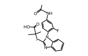 CC(=O)Nc1ccc(-n2c(SC(C)(C)C(=O)O)nc3ccccc32)c(F)c1